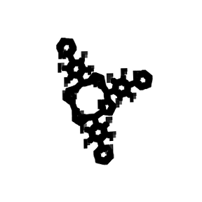 Fc1c(F)c(-c2ccccn2)c(F)c(F)c1C1=C2C=CC(=N2)C(c2c(F)c(F)c(-c3ccccn3)c(F)c2F)=C2C=CC(=N2)c2ccc([nH]2)C(c2c(F)c(F)c(-c3ccccn3)c(F)c2F)=C2C=CC1=N2